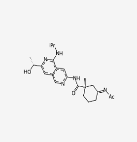 CC(=O)/N=C1\CCC[C@](C)(C(=O)Nc2cc3c(NC(C)C)nc([C@@H](C)O)cc3cn2)C1